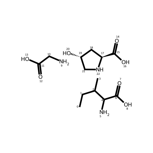 CCC(C)C(N)C(=O)O.NCC(=O)O.O=C(O)[C@@H]1C[C@@H](O)CN1